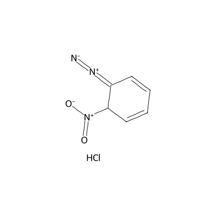 Cl.[N-]=[N+]=C1C=CC=CC1[N+](=O)[O-]